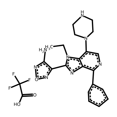 CCn1c(-c2nonc2N)nc2c(-c3ccccc3)ncc(N3CCNCC3)c21.O=C(O)C(F)(F)F